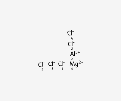 [Al+3].[Cl-].[Cl-].[Cl-].[Cl-].[Cl-].[Mg+2]